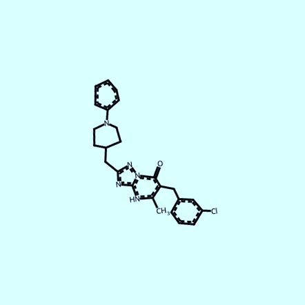 Cc1[nH]c2nc(CC3CCN(c4ccccc4)CC3)nn2c(=O)c1Cc1cccc(Cl)c1